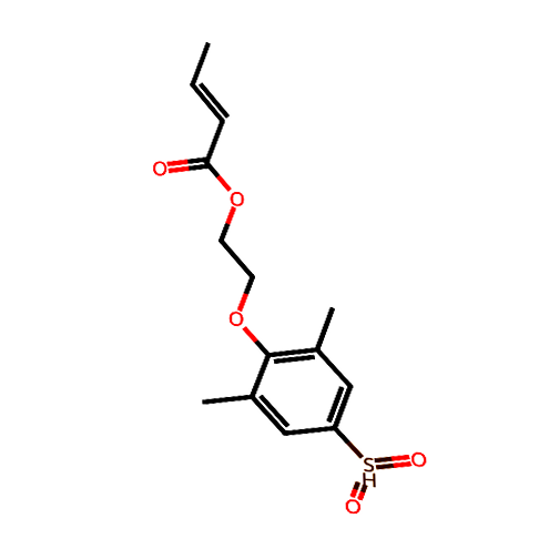 CC=CC(=O)OCCOc1c(C)cc([SH](=O)=O)cc1C